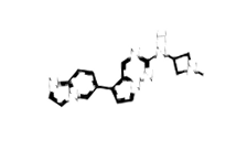 CN1CC(Nc2ncc3c(-c4ccc5nccn5c4)ccn3n2)C1